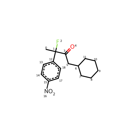 CC(F)(C(=O)CC1CCCCC1)c1ccc([N+](=O)[O-])cc1